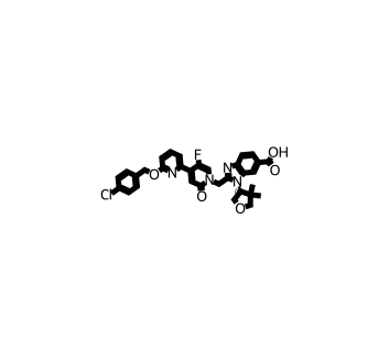 CC1(C)COC[C@H]1n1c(Cn2cc(F)c(-c3cccc(OCc4ccc(Cl)cc4)n3)cc2=O)nc2ccc(C(=O)O)cc21